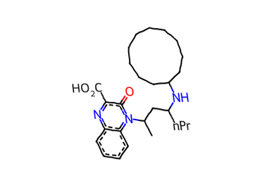 CCCC(CC(C)n1c(=O)c(C(=O)O)nc2ccccc21)NC1CCCCCCCCCC1